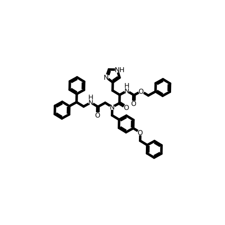 O=C(CN(Cc1ccc(OCc2ccccc2)cc1)C(=O)C(Cc1c[nH]cn1)NC(=O)OCc1ccccc1)NCC(c1ccccc1)c1ccccc1